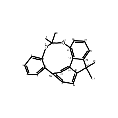 CC1(C)Oc2ccccc2-c2ccc3c(c2)-c2c(cccc2C3(C)C)O1